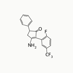 NC1=C(c2cc(C(F)(F)F)ccc2F)C(=O)C(c2ccccc2)C1